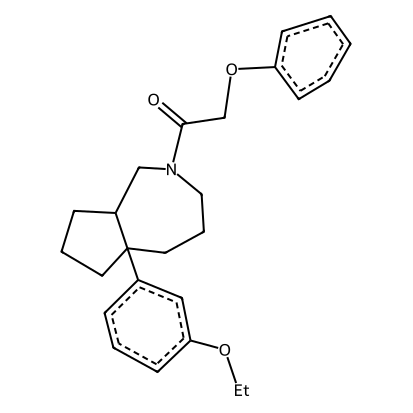 CCOc1cccc(C23CCCC2CN(C(=O)COc2ccccc2)CCC3)c1